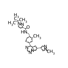 Cc1cc(-c2ncnn3cc(-c4cnn(C)c4)cc23)ccc1CNC(=O)c1ccn(C(C)(C)C)n1